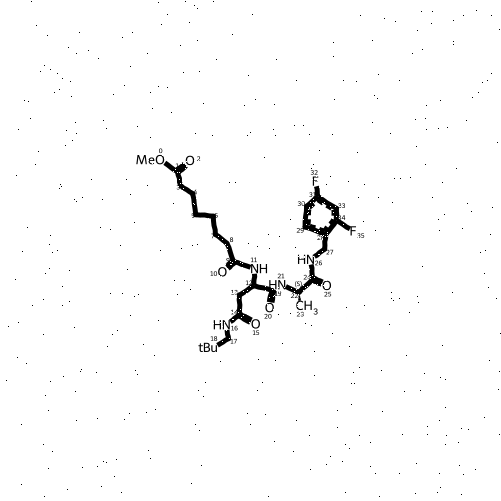 COC(=O)CCCCCCC(=O)NC(CC(=O)NCC(C)(C)C)C(=O)N[C@@H](C)C(=O)NCc1ccc(F)cc1F